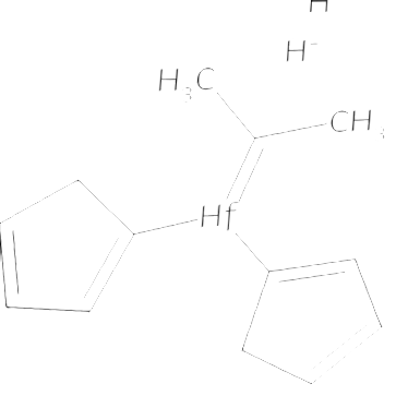 C[C](C)=[Hf]([C]1=CC=CC1)[C]1=CC=CC1.[H-].[H-]